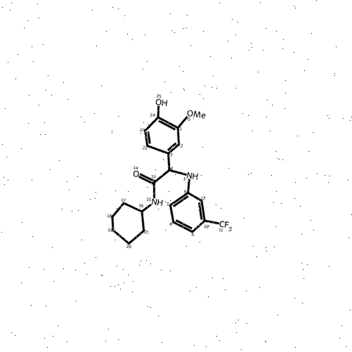 COc1cc(C(Nc2cccc(C(F)(F)F)c2)C(=O)NC2CCCCC2)ccc1O